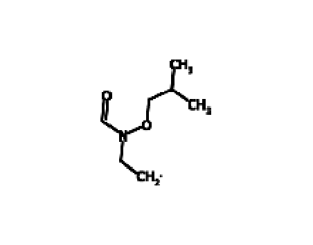 [CH2]CN(C=O)OCC(C)C